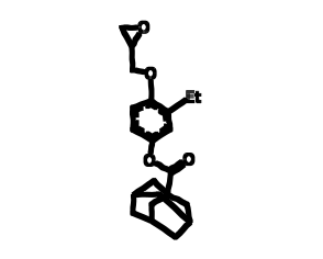 CCc1cc(OC(=O)C23CC4CC(CC(C4)C2)C3)ccc1OCC1CO1